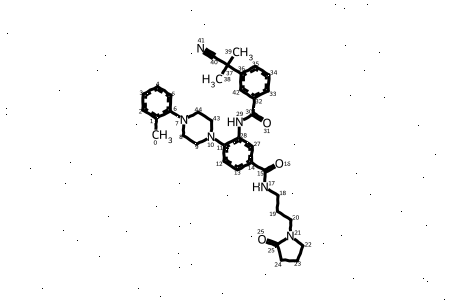 Cc1ccccc1N1CCN(c2ccc(C(=O)NCCCN3CCCC3=O)cc2NC(=O)c2cccc(C(C)(C)C#N)c2)CC1